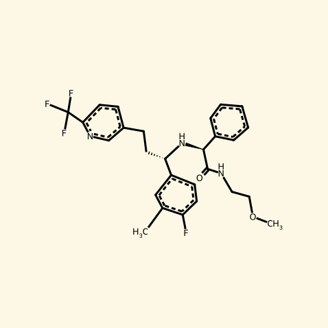 COCCNC(=O)[C@@H](N[C@@H](CCc1ccc(C(F)(F)F)nc1)c1ccc(F)c(C)c1)c1ccccc1